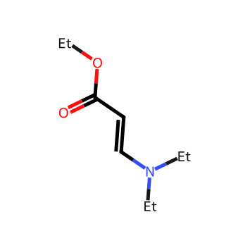 CCOC(=O)C=CN(CC)CC